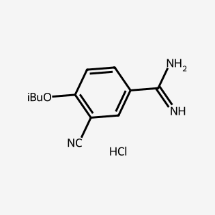 CC(C)COc1ccc(C(=N)N)cc1C#N.Cl